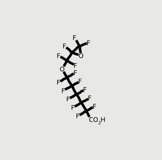 O=C(O)C(F)(F)C(F)(F)C(F)(F)C(F)(F)C(F)(F)OC(F)(F)C1(F)OC1(F)F